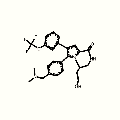 CN(C)Cc1ccc(-c2c(-c3cccc(OC(F)(F)F)c3)cc3n2C(CCO)CNC3=O)cc1